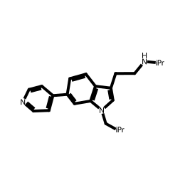 CC(C)Cn1cc(CCNC(C)C)c2ccc(-c3ccncc3)cc21